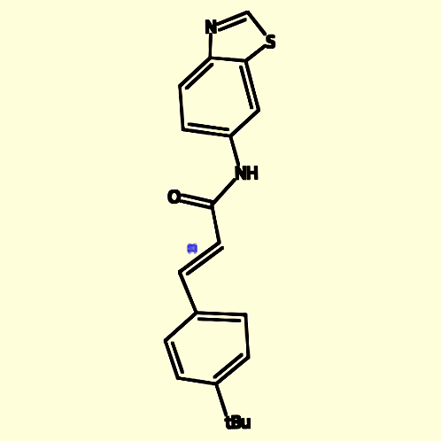 CC(C)(C)c1ccc(/C=C/C(=O)Nc2ccc3ncsc3c2)cc1